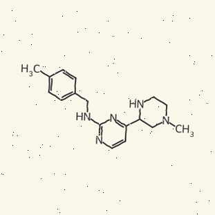 Cc1ccc(CNc2nccc(C3CN(C)CCN3)n2)cc1